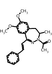 COc1cc2c(cc1OC)C(C=Cc1ccccc1)=NN(C(C)=O)C(C)C2